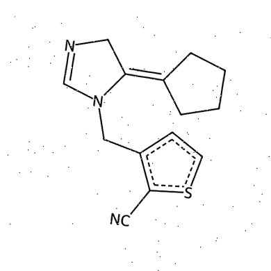 N#Cc1sccc1CN1C=NCC1=C1CCCC1